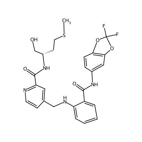 CSCC[C@@H](CO)NC(=O)c1cc(CNc2ccccc2C(=O)Nc2ccc3c(c2)OC(F)(F)O3)ccn1